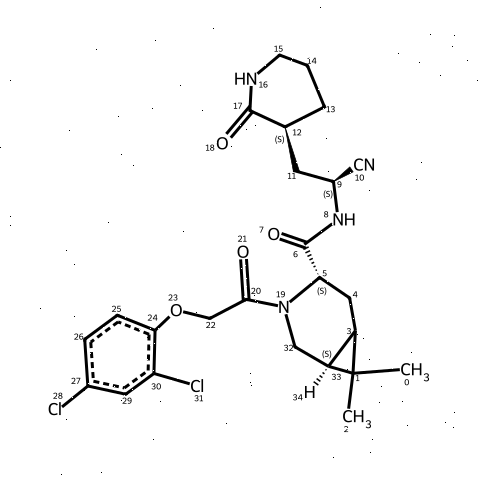 CC1(C)C2C[C@@H](C(=O)N[C@H](C#N)C[C@@H]3CCCNC3=O)N(C(=O)COc3ccc(Cl)cc3Cl)C[C@@H]21